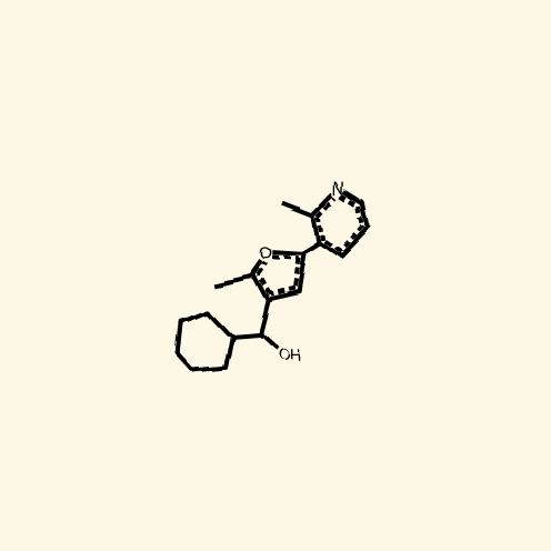 Cc1ncccc1-c1cc(C(O)C2CCCCC2)c(C)o1